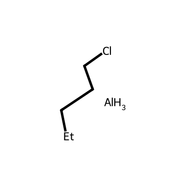 CCCCCCl.[AlH3]